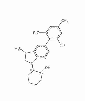 Cc1cc(O)c(-c2cc3c(nn2)N([C@@H]2CCCC[C@H]2O)CC3C)c(C(F)(F)F)c1